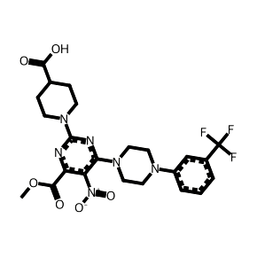 COC(=O)c1nc(N2CCC(C(=O)O)CC2)nc(N2CCN(c3cccc(C(F)(F)F)c3)CC2)c1[N+](=O)[O-]